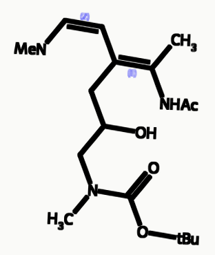 CN/C=C\C(CC(O)CN(C)C(=O)OC(C)(C)C)=C(/C)NC(C)=O